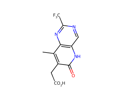 Cc1c(CC(=O)O)c(=O)[nH]c2cnc(C(F)(F)F)nc12